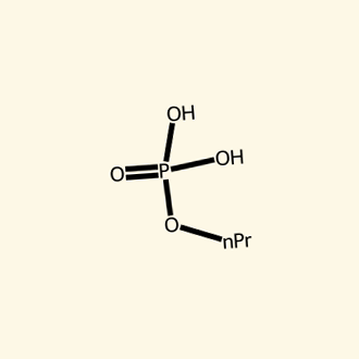 [CH2]CCOP(=O)(O)O